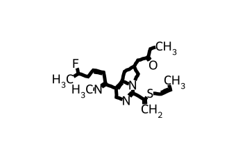 C=C(S/C=C\C)C1=NCC(C(/C=C\CC(C)F)=N/C)=C2CC(CC(=O)CC)CN12